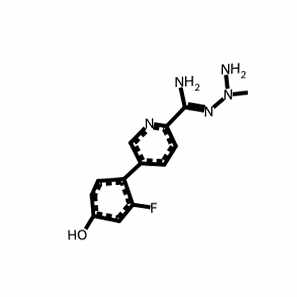 CN(N)/N=C(\N)c1ccc(-c2ccc(O)cc2F)cn1